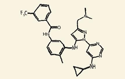 Cc1ccc(NC(=O)c2cccc(C(F)(F)F)c2)cc1Nc1cc(CN(C)C)nn1-c1cc(NC2CC2)ncn1